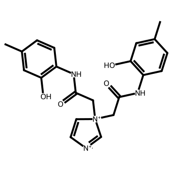 Cc1ccc(NC(=O)C[N+]2(CC(=O)Nc3ccc(C)cc3O)C=C[N+]=C2)c(O)c1